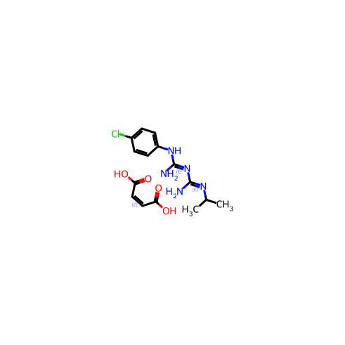 CC(C)/N=C(N)/N=C(\N)Nc1ccc(Cl)cc1.O=C(O)/C=C\C(=O)O